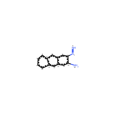 N=Nc1cc2cc3ccccc3cc2cc1N